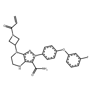 C=CC(=O)N1CC(N2CCNc3c2nn(-c2ccc(Oc4cccc(F)c4)cc2)c3C(N)=O)C1